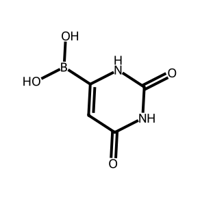 O=c1cc(B(O)O)[nH]c(=O)[nH]1